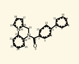 O=C(c1ccc(-c2ccccc2)cc1)N1Cc2cccn2-c2ccccc21